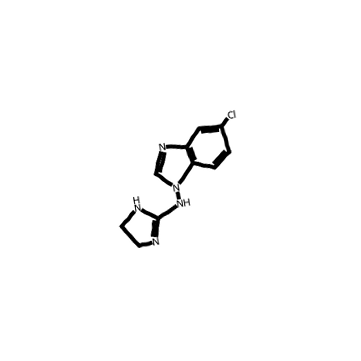 Clc1ccc2c(c1)ncn2NC1=NCCN1